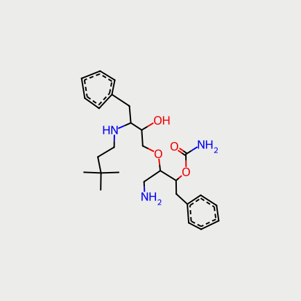 CC(C)(C)CCNC(Cc1ccccc1)C(O)COC(CN)C(Cc1ccccc1)OC(N)=O